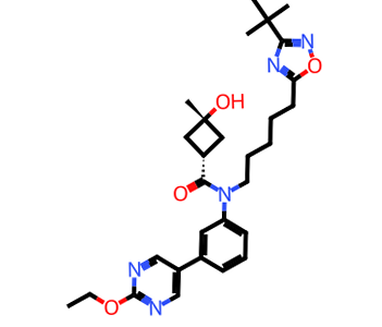 CCOc1ncc(-c2cccc(N(CCCCCc3nc(C(C)(C)C)no3)C(=O)[C@H]3C[C@@](C)(O)C3)c2)cn1